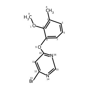 COc1c(C)cccc1Oc1cc(Br)ncn1